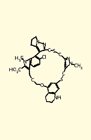 Cn1nc2cc1CSc1cc3c(c(c1)OCCCc1c(C(=O)O)n(C)c4c(c(Cl)ccc14)-c1c(nn4c1CCC4)CSC2)CCCN3